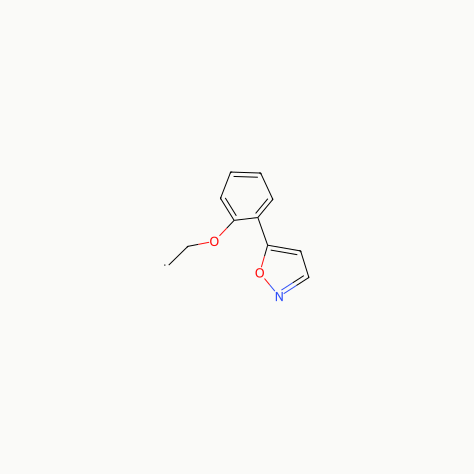 [CH2]COc1ccccc1-c1ccno1